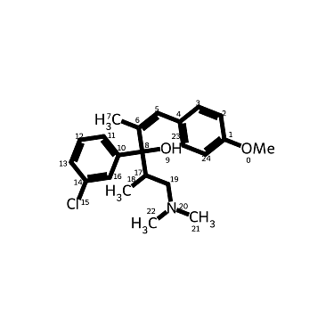 COc1ccc(/C=C(/C)C(O)(c2cccc(Cl)c2)C(C)CN(C)C)cc1